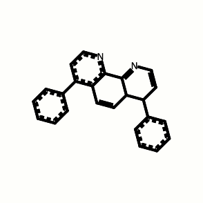 C1=CC(c2ccccc2)C2C=Cc3c(-c4ccccc4)ccnc3C2=N1